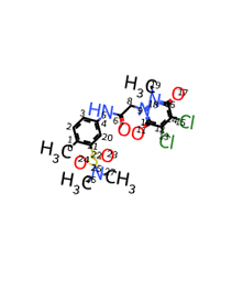 Cc1ccc(NC(=O)Cn2c(=O)c(Cl)c(Cl)c(=O)n2C)cc1S(=O)(=O)N(C)C